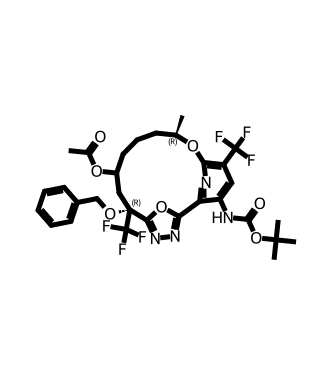 CC(=O)OC1CCC[C@@H](C)Oc2nc(c(NC(=O)OC(C)(C)C)cc2C(F)(F)F)-c2nnc(o2)[C@@](OCc2ccccc2)(C(F)(F)F)C1